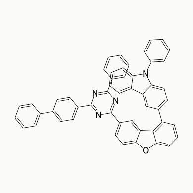 c1ccc(-c2ccc(-c3nc(-c4ccccc4)nc(-c4ccc5oc6cccc(-c7ccc8c(c7)c7ccccc7n8-c7ccccc7)c6c5c4)n3)cc2)cc1